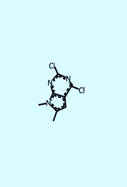 Cc1cc2c(Cl)nc(Cl)nc2n1C